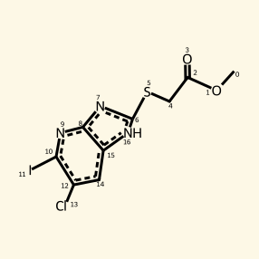 COC(=O)CSc1nc2nc(I)c(Cl)cc2[nH]1